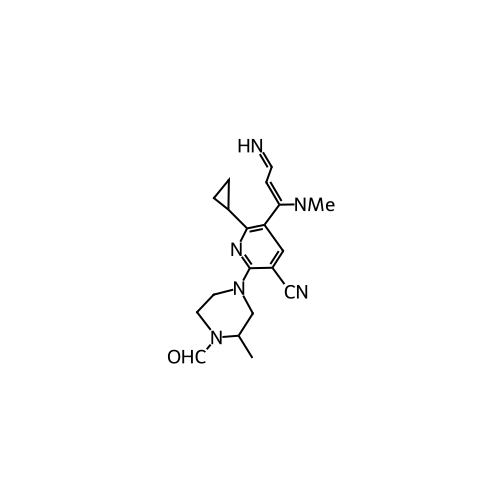 CN/C(=C\C=N)c1cc(C#N)c(N2CCN(C=O)C(C)C2)nc1C1CC1